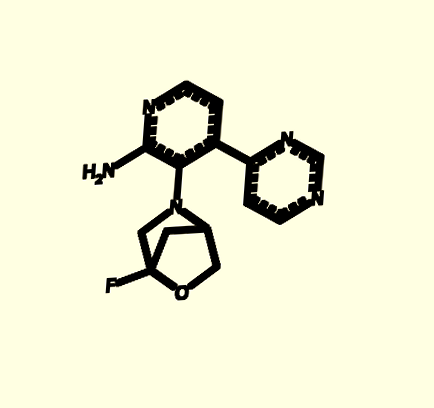 Nc1nccc(-c2ccncn2)c1N1CC2(F)CC1CO2